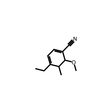 CCC1=CC=C(C#N)C(OC)C1C